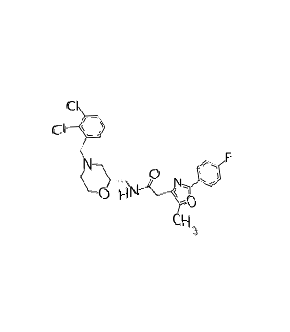 Cc1oc(-c2ccc(F)cc2)nc1CC(=O)NC[C@H]1CN(Cc2cccc(Cl)c2Cl)CCO1